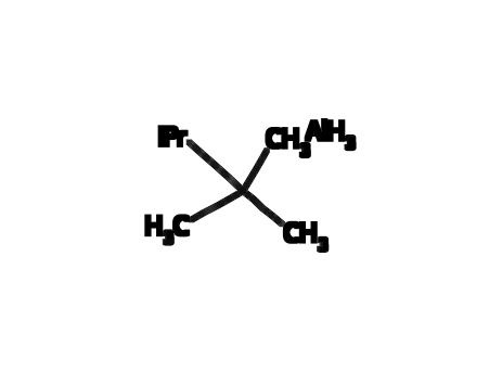 [AlH3].[CH2]C(C)C(C)(C)C